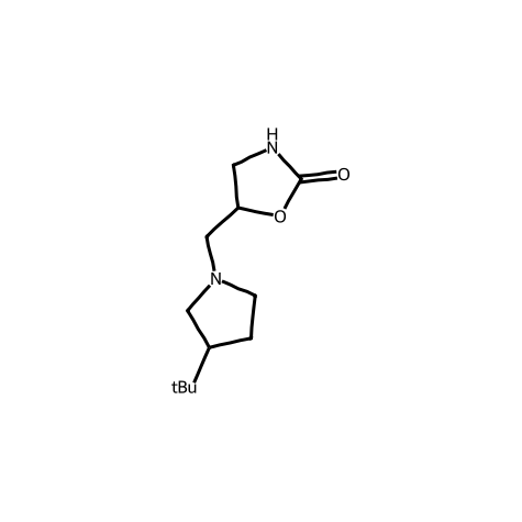 CC(C)(C)C1CCN(CC2CNC(=O)O2)C1